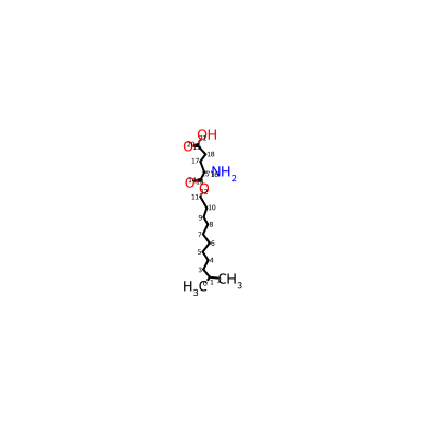 CC(C)CCCCCCCCCOC(=O)[C@@H](N)CCC(=O)O